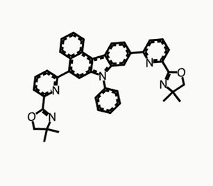 CC1(C)COC(c2cccc(-c3ccc4c5c6ccccc6c(-c6cccc(C7=NC(C)(C)CO7)n6)cc5n(-c5ccccc5)c4c3)n2)=N1